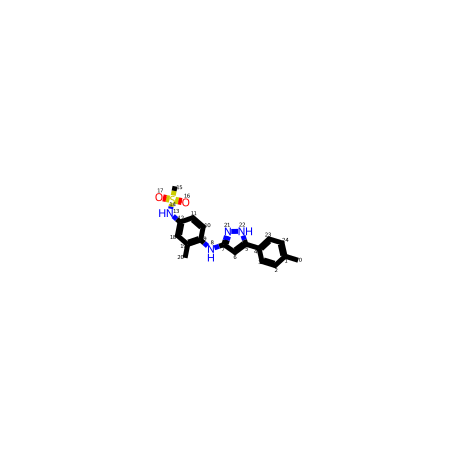 Cc1ccc(-c2cc(Nc3ccc(NS(C)(=O)=O)cc3C)n[nH]2)cc1